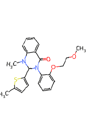 COCCOc1ccccc1N1C(=O)c2ccccc2N(C)C1c1ccc(C)s1